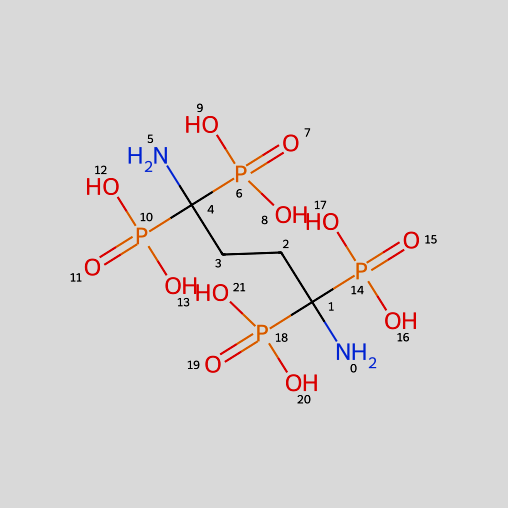 NC(CCC(N)(P(=O)(O)O)P(=O)(O)O)(P(=O)(O)O)P(=O)(O)O